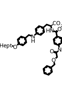 CCCCCCCOc1ccc(CNc2ccc(C[C@H](NC(=O)c3ccc(NC(=O)COCc4ccccc4)cc3)C(=O)O)cc2)cc1